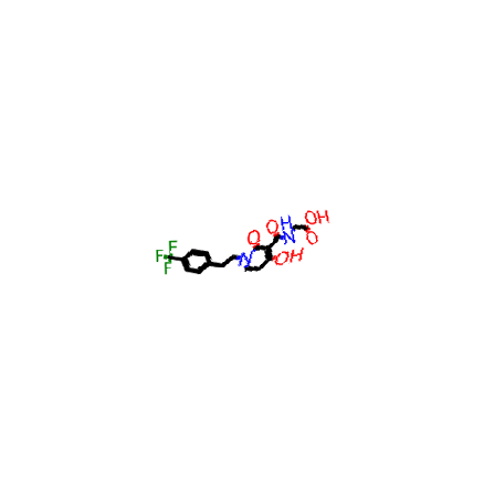 O=C(O)CNC(=O)C1=C(O)CCN(CCc2ccc(C(F)(F)F)cc2)C1=O